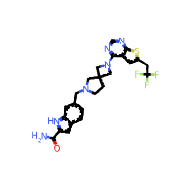 NC(=O)c1cc2ccc(CN3CCC4(C3)CN(c3ncnc5sc(CC(F)(F)F)cc35)C4)cc2[nH]1